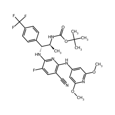 COc1cc(Nc2nc(N[C@H](c3ccc(C(F)(F)F)cc3)[C@H](C)NC(=O)OC(C)(C)C)c(F)cc2C#N)cc(OC)n1